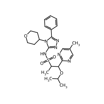 Cc1cnc(C(OC(C)C)C(C)S(=O)(=O)Nc2nnc(-c3ccccc3)n2C2CCOCC2)nc1